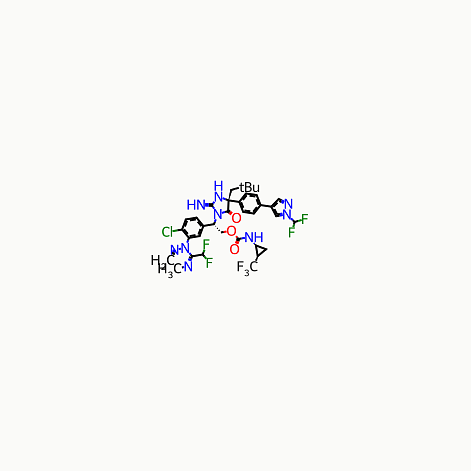 C=NN(/C(=N\C)C(F)F)c1cc([C@@H](COC(=O)N[C@@H]2C[C@H]2C(F)(F)F)N2C(=N)N[C@](CC(C)(C)C)(c3ccc(-c4cnn(C(F)F)c4)cc3)C2=O)ccc1Cl